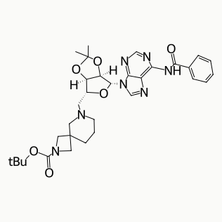 CC(C)(C)OC(=O)N1CC2(CCCN(C[C@H]3O[C@@H](n4cnc5c(NC(=O)c6ccccc6)ncnc54)[C@@H]4OC(C)(C)O[C@@H]43)C2)C1